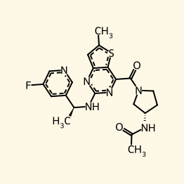 CC(=O)N[C@H]1CCN(C(=O)c2nc(N[C@@H](C)c3cncc(F)c3)nc3cc(C)sc23)C1